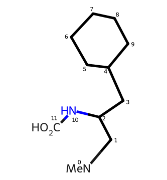 CNCC(CC1CCCCC1)NC(=O)O